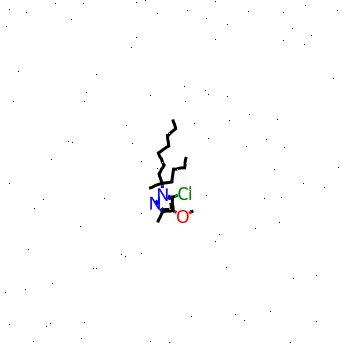 CCCCCCCC(C)(CCCC)n1nc(C)c(OC)c1Cl